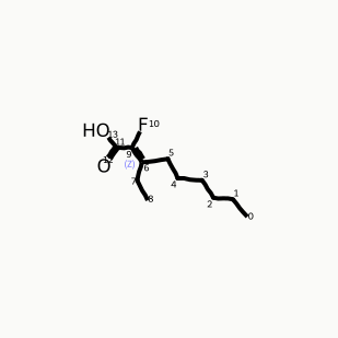 CCCCCC/C(CC)=C(\F)C(=O)O